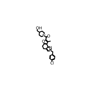 Cc1c(C(=O)N2CCC(CO)CC2)oc2c1-c1nn(Cc3ccc(Cl)cc3)cc1CC2